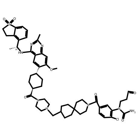 COc1cc2nc(C)nc(N[C@H](C)c3cccc4c3CCS4(=O)=O)c2cc1[C@H]1CC[C@H](C(=O)N2CCN(CC3CCC4(CC3)CCN(C(=O)c3ccc(Cl)c(N(CCC=O)C(N)=O)c3)CC4)CC2)CC1